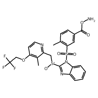 Cc1ccc(C(=O)ON)cc1S(=O)(=O)n1c([S+]([O-])Cc2nccc(OCC(F)(F)F)c2C)nc2ccccc21